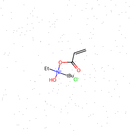 C=CC(=O)O[N+](O)(CC)C(C)(C)C.[Cl-]